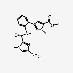 COC(=O)c1cc(-c2ccccc2NC(=O)c2nc(N)cn2C)cn1C